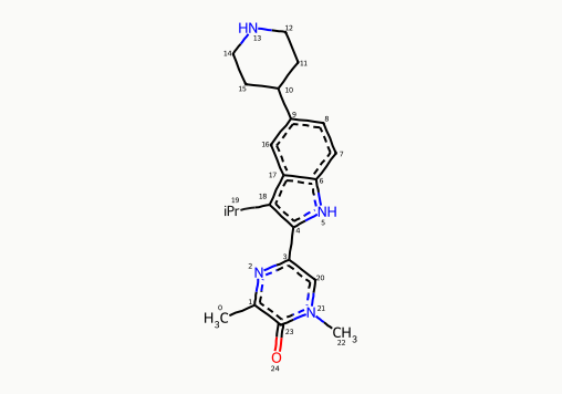 Cc1nc(-c2[nH]c3ccc(C4CCNCC4)cc3c2C(C)C)cn(C)c1=O